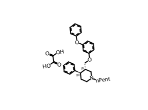 CCCCCN1CC[C@@H](c2ccccc2)[C@H](COc2cccc(Oc3ccccc3)c2)C1.O=C(O)C(=O)O